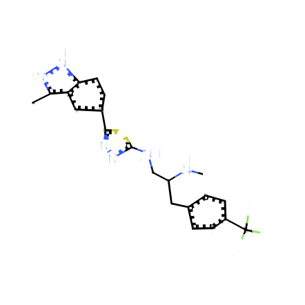 CNC(CNc1nnc(-c2ccc3[nH]nc(C)c3c2)s1)Cc1ccc(C(F)(F)F)cc1